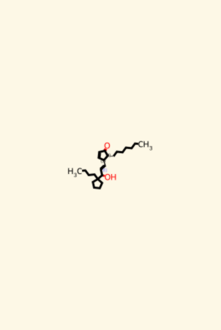 CCCCCCC[C@H]1C(=O)C=C[C@@H]1/C=C/C(O)C1(CCCC)CCCC1